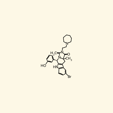 C=C1N(CCN2CCCCCC2)C(=O)[C@]2(C)Cc3c([nH]c4ccc(Br)cc34)[C@@H](c3cccc(O)c3)N12